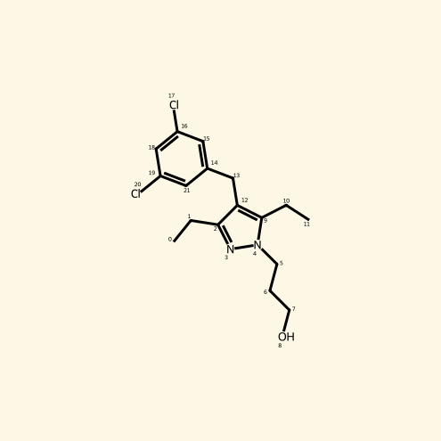 CCc1nn(CCCO)c(CC)c1Cc1cc(Cl)cc(Cl)c1